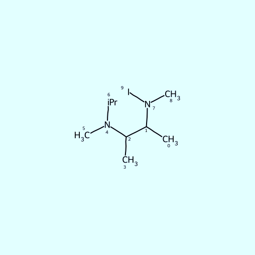 CC(C(C)N(C)C(C)C)N(C)I